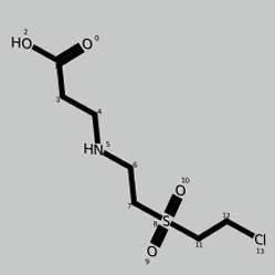 O=C(O)CCNCCS(=O)(=O)CCCl